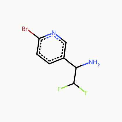 NC(c1ccc(Br)nc1)C(F)F